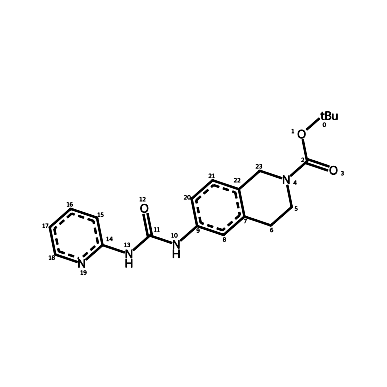 CC(C)(C)OC(=O)N1CCc2cc(NC(=O)Nc3ccccn3)ccc2C1